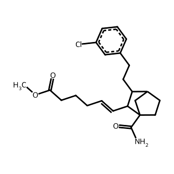 COC(=O)CCCC=CC1C(CCc2cccc(Cl)c2)C2CCC1(C(N)=O)C2